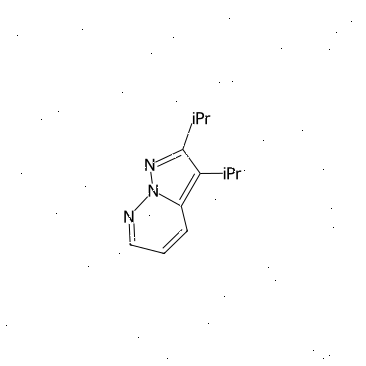 CC(C)c1nn2ncccc2c1C(C)C